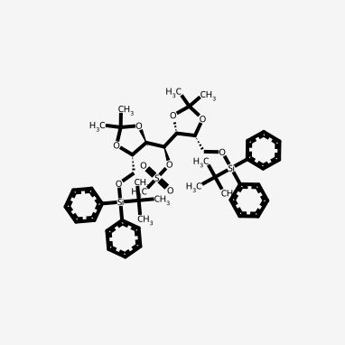 CC1(C)O[C@@H]([C@H](OS(C)(=O)=O)[C@@H]2OC(C)(C)O[C@@H]2CO[Si](c2ccccc2)(c2ccccc2)C(C)(C)C)[C@H](CO[Si](c2ccccc2)(c2ccccc2)C(C)(C)C)O1